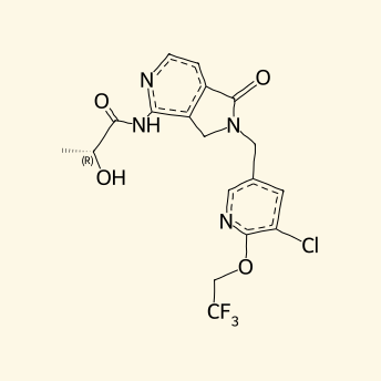 C[C@@H](O)C(=O)Nc1nccc2c1CN(Cc1cnc(OCC(F)(F)F)c(Cl)c1)C2=O